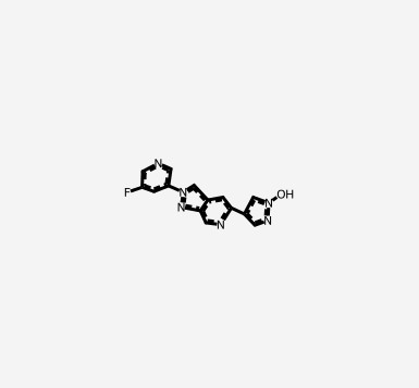 On1cc(-c2cc3cn(-c4cncc(F)c4)nc3cn2)cn1